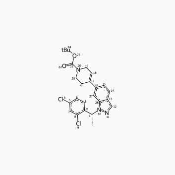 C[C@H](c1ccc(Cl)cc1Cl)n1ncc2ccc(C3=CCN(C(=O)OC(C)(C)C)CC3)cc21